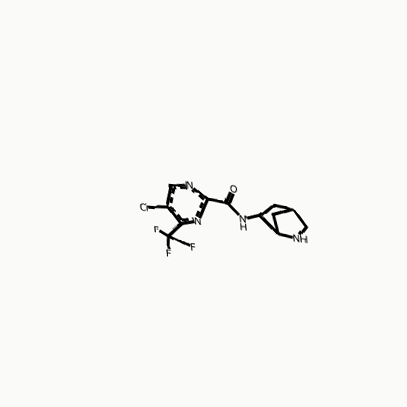 O=C(NC1CC2CNC1C2)c1ncc(Cl)c(C(F)(F)F)n1